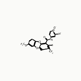 CC(=O)c1cc(NC(=O)c2c(Oc3ccc(OC(F)(F)F)cc3O)ccc(C(F)(F)F)c2F)cc[n+]1[O-]